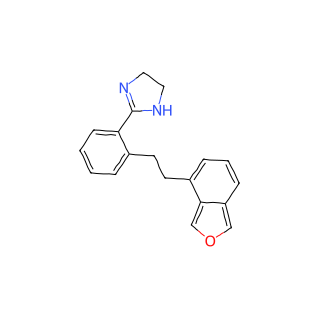 c1ccc(C2=NCCN2)c(CCc2cccc3cocc23)c1